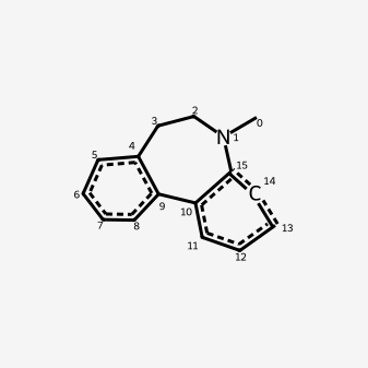 CN1CCc2ccccc2-c2ccccc21